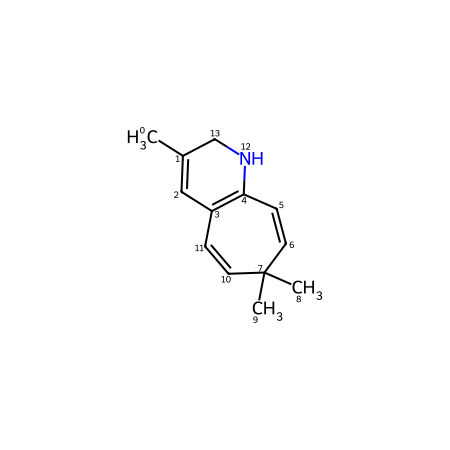 CC1=CC2=C(C=CC(C)(C)C=C2)NC1